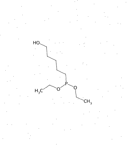 CCOP(CCCCCO)OCC